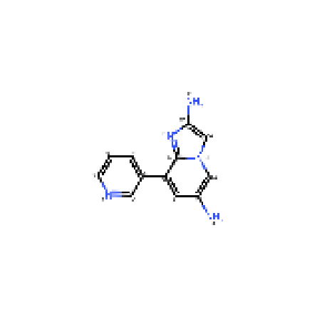 Nc1cc(-c2cccnc2)c2nc(N)cn2c1